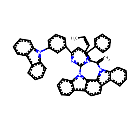 C=C(/C=C\C=C/C)n1c2ccccc2c2ccc3c4ccccc4n(-c4nc(-c5ccccc5)cc(-c5cccc(-n6c7ccccc7c7ccccc76)c5)n4)c3c21